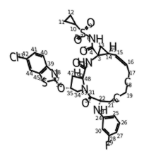 O=C1N[C@]2(C(=O)NS(=O)(=O)C3CC3)C[C@H]2/C=C\CCCCC[C@H](Nc2cccc(F)c2)C(=O)N2C[C@H](Oc3nc4ccc(Cl)cc4s3)C[C@@H]12